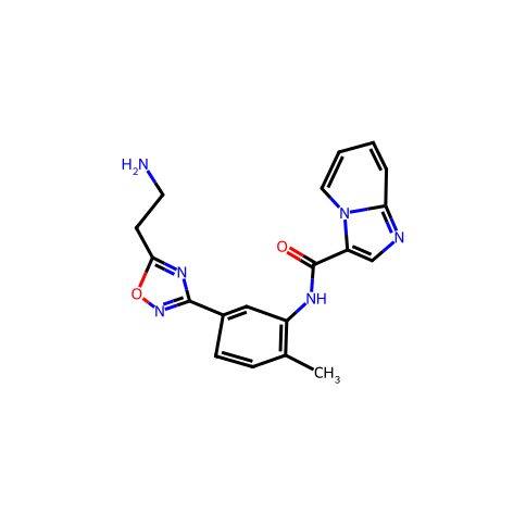 Cc1ccc(-c2noc(CCN)n2)cc1NC(=O)c1cnc2ccccn12